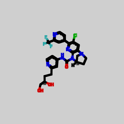 O=C(Nc1ccnc(CC[C@@H](O)CO)c1)N1c2nc(-c3ccnc(C(F)(F)F)c3)c(Cl)cc2N2CC[C@H]1C2